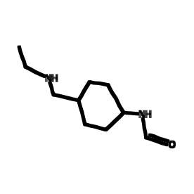 CCNCC1CCC(NC=O)CC1